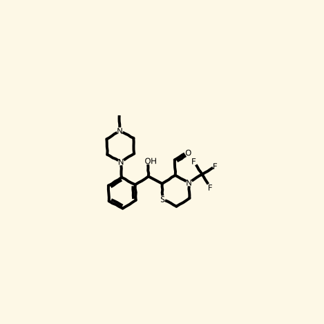 CN1CCN(c2ccccc2C(O)C2SCCN(C(F)(F)F)C2C=O)CC1